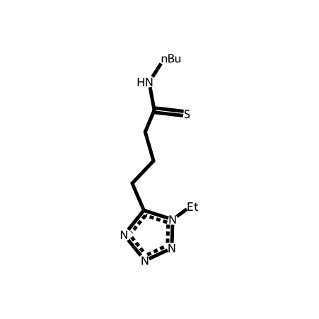 CCCCNC(=S)CCCc1nnnn1CC